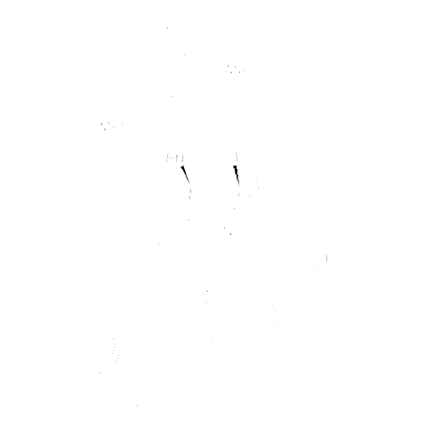 COc1cccc(OC)c1C(=O)N[C@@H]1C(=O)N2C(C(=O)OCc3ccccc3)=C(C)CS[C@@H]12